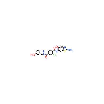 COC(=O)C(=Cc1cnc(N)s1)NC(=O)c1ccc(C(=O)NCc2cccc(O)c2)cc1Cl